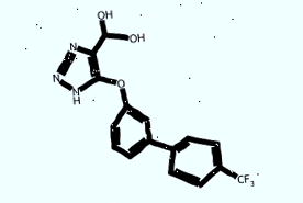 OC(O)c1nn[nH]c1Oc1cccc(-c2ccc(C(F)(F)F)cc2)c1